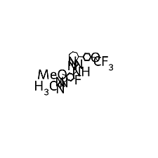 COc1cc(Nc2nc3n(n2)CCCCC3c2ccc(OC(F)(F)F)cc2)c(F)cc1-n1cnc(C)n1